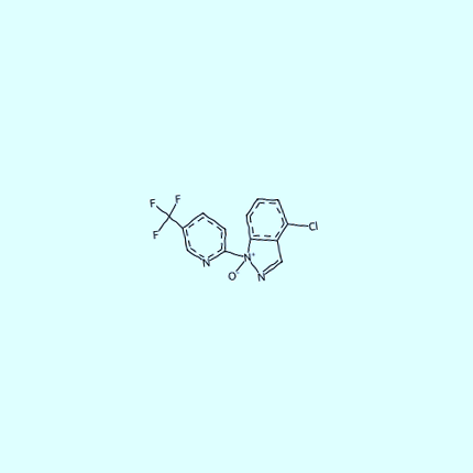 [O-][N+]1(c2ccc(C(F)(F)F)cn2)N=Cc2c(Cl)cccc21